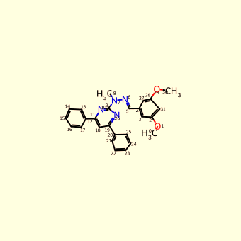 COc1cc(/C=N/N(C)c2nc(-c3ccccc3)cc(-c3ccccc3)n2)cc(OC)c1